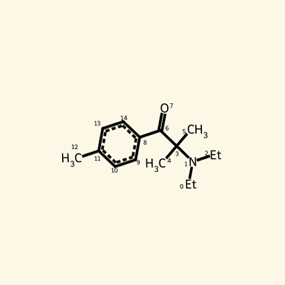 CCN(CC)C(C)(C)C(=O)c1ccc(C)cc1